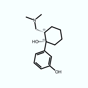 CN(C)C[C@@H]1CCCC[C@@]1(O)c1cccc(O)c1